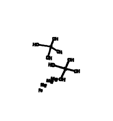 O[Si](O)(O)O.O[Si](O)(O)O.[Fe].[Mg].[Mg].[Mg]